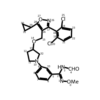 CO/N=C(\NC=O)c1cccc(N2CCC(OCc3c(-c4c(Cl)cccc4Cl)noc3C3CC3)C2)c1